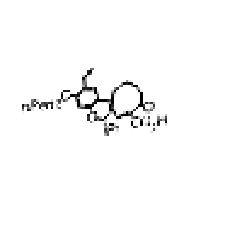 C=Cc1cc2c(cc1OCCCCC)OC(C(C)C)C1=C2CCCCC(=O)/C(C(=O)O)=C\1